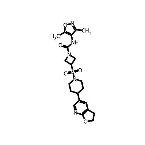 Cc1noc(C)c1NC(=O)N1CC(S(=O)(=O)N2CCC(c3cnc4c(c3)CCO4)CC2)C1